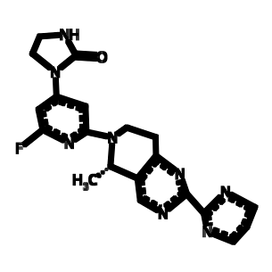 C[C@H]1c2cnc(-c3ncccn3)nc2CCN1c1cc(N2CCNC2=O)cc(F)n1